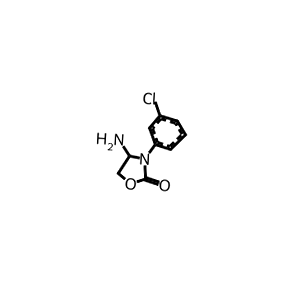 NC1COC(=O)N1c1cccc(Cl)c1